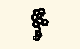 c1ccc(-c2ccccc2C2[n+]3cccc4ccc5ccc[n+]2c5c43)c(Cc2c[n+]3ccoc3s2)c1